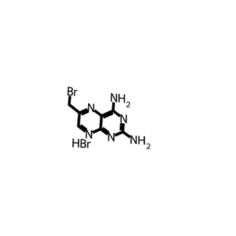 Br.Nc1nc(N)c2nc(CBr)cnc2n1